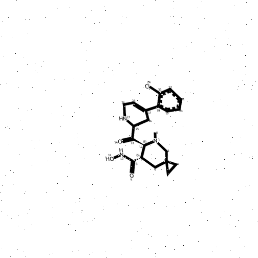 CN1CC2(CC2)C[C@H](C(=O)NO)[C@H]1C(=O)C1CC(c2ccccc2Cl)=CCN1